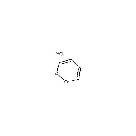 C1=COOC=C1.Cl